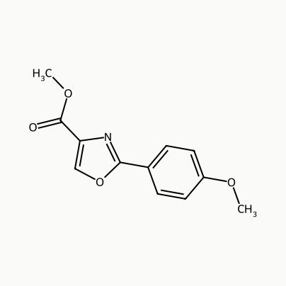 COC(=O)c1coc(-c2ccc(OC)cc2)n1